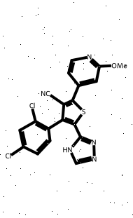 COc1cc(-c2sc(-c3nnc[nH]3)c(-c3ccc(Cl)cc3Cl)c2C#N)ccn1